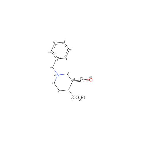 CCOC(=O)C1CCN(Cc2ccccc2)CC1=C=O